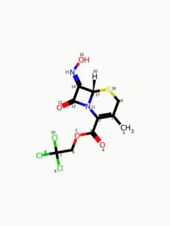 CC1=C(C(=O)OCC(Cl)(Cl)Cl)N2C(=O)C(=NO)[C@@H]2SC1